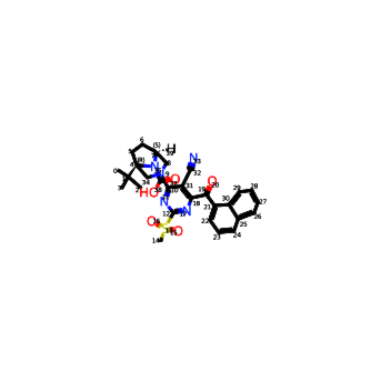 CC(C)(C)[C@]12CC[C@@H](CN(c3nc(S(C)(=O)=O)nc(C(=O)c4cccc5ccccc45)c3C#N)C1)N2C(=O)O